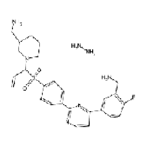 C=CC(N1CCCC(CN)C1)S(=O)(=O)c1ccc(-c2nccc(-c3ccc(F)c(CN)c3)n2)cc1.NN